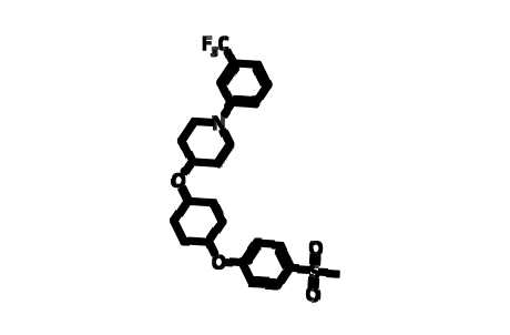 CS(=O)(=O)c1ccc(OC2CCC(OC3CCN(c4cccc(C(F)(F)F)c4)CC3)CC2)cc1